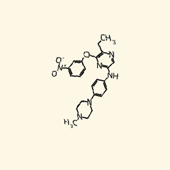 CCc1ncc(Nc2ccc(N3CCN(C)CC3)cc2)nc1Oc1cccc([N+](=O)[O-])c1